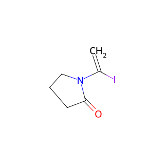 C=C(I)N1CCCC1=O